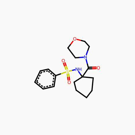 O=C(N1CCOCC1)C1(NS(=O)(=O)c2ccccc2)CCCCC1